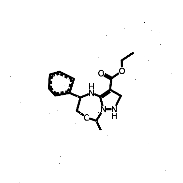 CCOC(=O)C1=C2NC(c3ccccc3)CCC(C)N2NC1